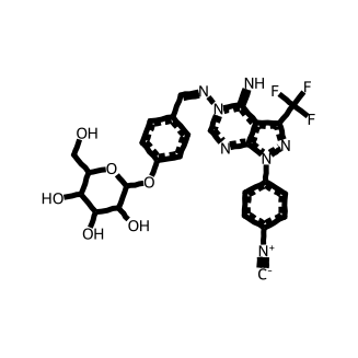 [C-]#[N+]c1ccc(-n2nc(C(F)(F)F)c3c(=N)n(/N=C\c4ccc(OC5OC(CO)C(O)C(O)C5O)cc4)cnc32)cc1